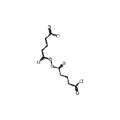 O=C(Cl)CCCC(=O)OOC(=O)CCCC(=O)Cl